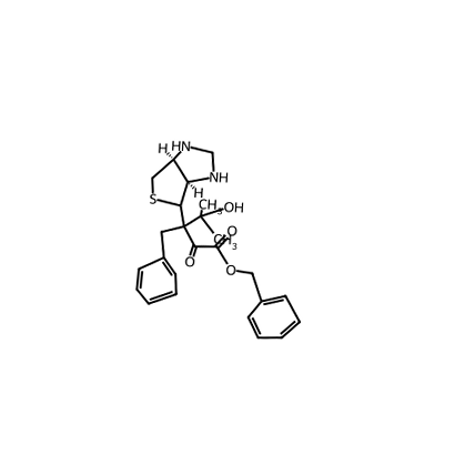 CC(C)(O)C(Cc1ccccc1)(C(=O)C(=O)OCc1ccccc1)C1SC[C@H]2NCN[C@@H]12